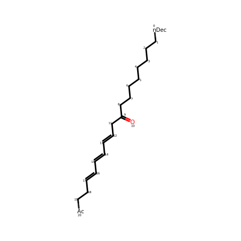 CCCCCCCCCCCCCCCCCCC(=O)CC=CC=CC=CCCC(C)=O